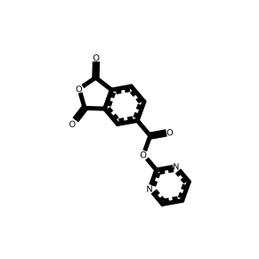 O=C(Oc1ncccn1)c1ccc2c(c1)C(=O)OC2=O